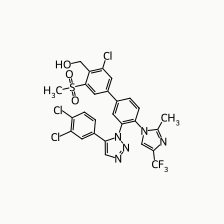 Cc1nc(C(F)(F)F)cn1-c1ccc(-c2cc(Cl)c(CO)c(S(C)(=O)=O)c2)cc1-n1nncc1-c1ccc(Cl)c(Cl)c1